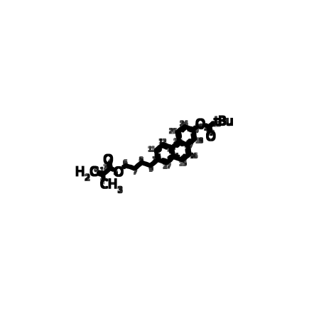 C=C(C)C(=O)OCCCCc1ccc2c(ccc3cc(OC(=O)C(C)(C)C)ccc32)c1